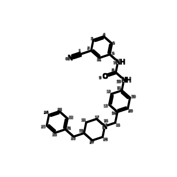 N#Cc1cccc(NC(=O)Nc2ccc(CN3CCC(Cc4ccccc4)CC3)cc2)c1